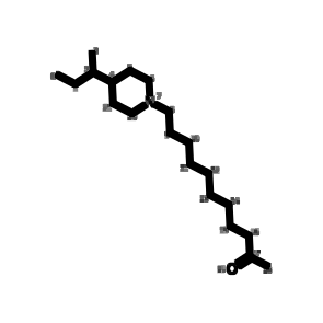 CCC(C)C1CCN(CCCCCCCCCC(C)=O)CC1